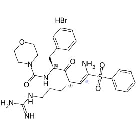 Br.N=C(N)NCCC[C@@H](/C=C(\N)S(=O)(=O)c1ccccc1)C(=O)[C@H](Cc1ccccc1)NC(=O)N1CCOCC1